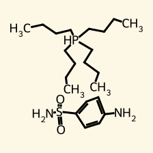 CCCC[PH](CCCC)(CCCC)CCCC.Nc1ccc(S(N)(=O)=O)cc1